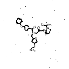 NCCc1csc(CN(CC(=O)N2CCCC2C(N)=O)C(=O)c2ccc(Oc3ccccc3)cc2)c1